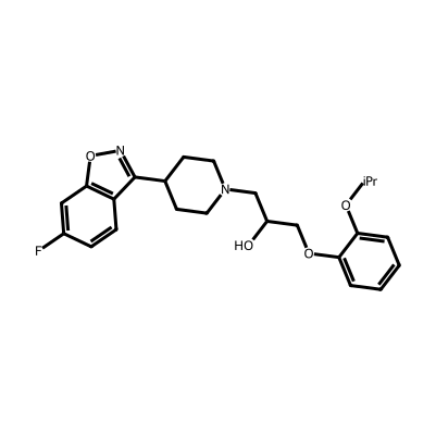 CC(C)Oc1ccccc1OCC(O)CN1CCC(c2noc3cc(F)ccc23)CC1